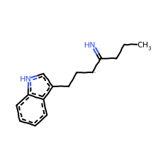 CCCC(=N)[CH]CCc1c[nH]c2ccccc12